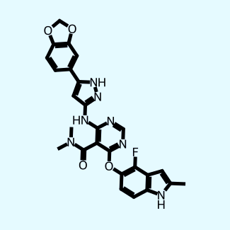 Cc1cc2c(F)c(Oc3ncnc(Nc4cc(-c5ccc6c(c5)OCO6)[nH]n4)c3C(=O)N(C)C)ccc2[nH]1